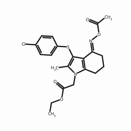 CCOC(=O)Cn1c(C)c(Sc2ccc(Cl)cc2)c2c1CCCC2=NOC(C)=O